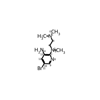 CN(C)CCN(C)c1ncc(Br)cc1N